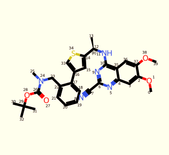 COc1cc2nc(C#N)nc(N[C@H](C)c3cc(-c4ccccc4CN(C)C(=O)OC(C)(C)C)cs3)c2cc1OC